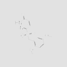 COc1ccc(OC)c(CS(=O)(=O)c2ccc(=O)[nH]n2)c1